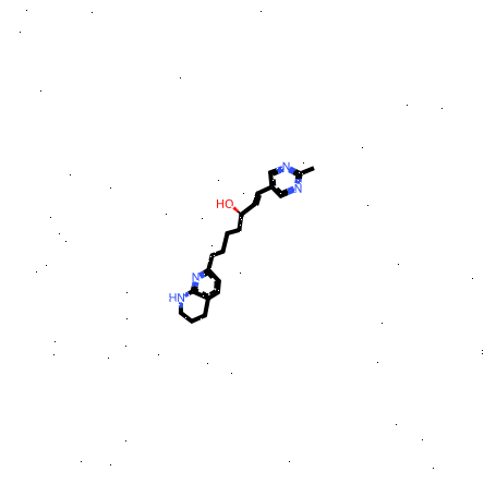 Cc1ncc(C=C[C@H](O)CCCCc2ccc3c(n2)NCCC3)cn1